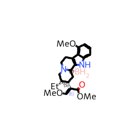 B[C@@]12C[C@H](/C(=C\OC)C(=O)OC)[C@H](CC)CN1CCc1c2[nH]c2cccc(OC)c12